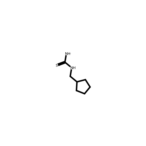 [NH]C(=S)NCC1CCCC1